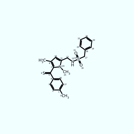 Cc1ccc(C(=S)c2c(C)cc(CNS(=O)(=O)Cc3ccccc3)n2C)cc1